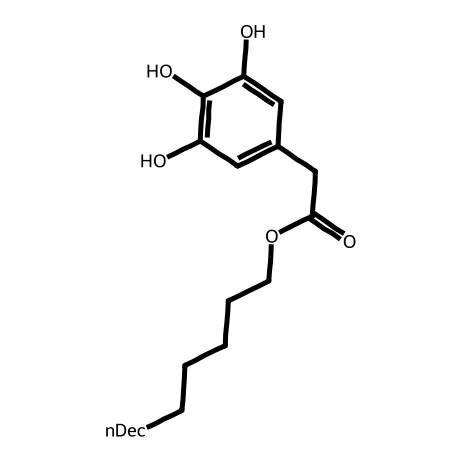 CCCCCCCCCCCCCCCOC(=O)Cc1cc(O)c(O)c(O)c1